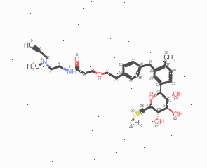 C#CCN(C)CCNC(=O)CCOCCc1ccc(Cc2cc([C@@H]3OC(C#SC)[C@@H](O)[C@H](O)[C@H]3O)ccc2C)cc1